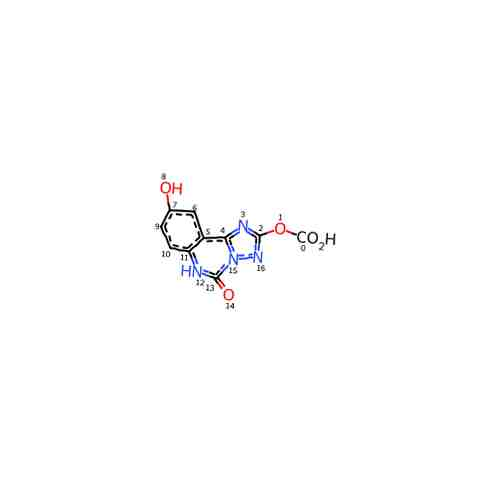 O=C(O)Oc1nc2c3cc(O)ccc3[nH]c(=O)n2n1